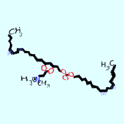 CCCCC/C=C\C/C=C\CCCCCCCCOC(=O)OCCC(CCCCCCCC/C=C\C/C=C\CCCCC)OC(=O)CCN(C)C